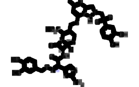 CC1=NC2=CN(CS(=O)(=O)c3ccc(O)c(O)c3)NN2C(SCC2=C(C(=O)O)N3C(=O)[C@@H](NC(=O)/C(=N\OCc4ccc(O)c(O)c4)c4csc(N)n4)[C@H]3SC2)=C1